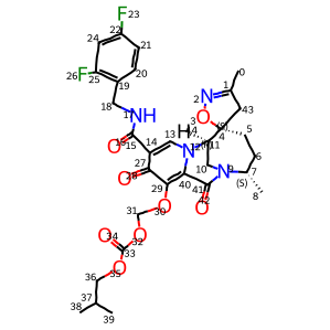 CC1=NO[C@@]2(CC[C@H](C)N3C[C@H]2n2cc(C(=O)NCc4ccc(F)cc4F)c(=O)c(OCOC(=O)OCC(C)C)c2C3=O)C1